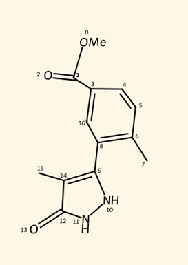 COC(=O)c1ccc(C)c(-c2[nH][nH]c(=O)c2C)c1